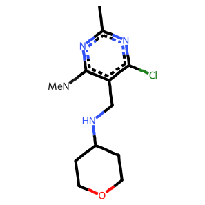 CNc1nc(C)nc(Cl)c1CNC1CCOCC1